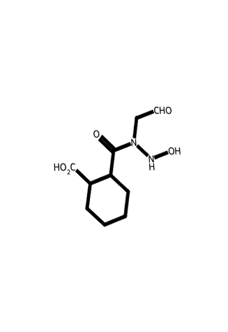 O=CCN(NO)C(=O)C1CCCCC1C(=O)O